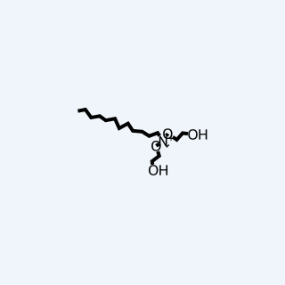 CCCCCCCCCCCC[N+](C)(OCCO)OCCO